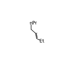 [CH2]C/C=[C]/CCCC